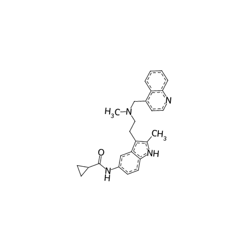 Cc1[nH]c2ccc(NC(=O)C3CC3)cc2c1CCN(C)Cc1ccnc2ccccc12